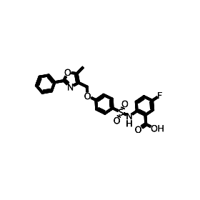 Cc1oc(-c2ccccc2)nc1COc1ccc(S(=O)(=O)Nc2ccc(F)cc2C(=O)O)cc1